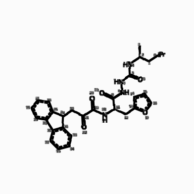 CC(C)C[C@H](C)NC(=O)NNC(=O)[C@@H](Cc1ccco1)NC(=O)C(=O)CC1c2ccccc2-c2ccccc21